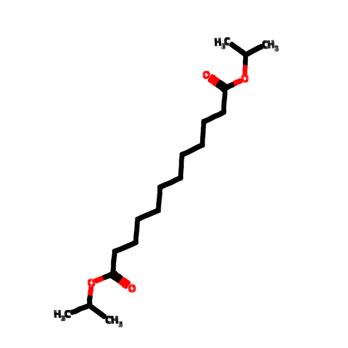 CC(C)OC(=O)CCCCCCCCCCC(=O)OC(C)C